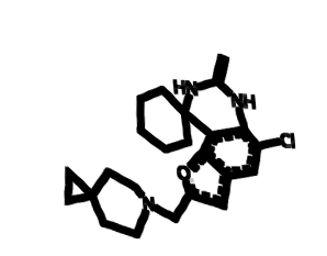 C=C1Nc2c(Cl)cc3cc(CN4CCC5(CC4)CC5)oc3c2C2(CCCCC2)N1